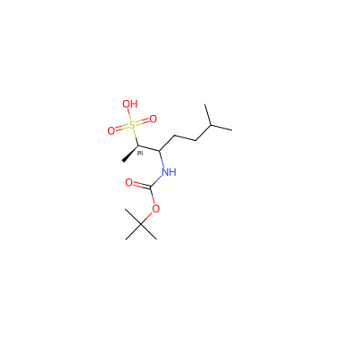 CC(C)CCC(NC(=O)OC(C)(C)C)[C@@H](C)S(=O)(=O)O